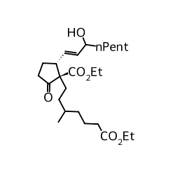 CCCCCC(O)C=C[C@H]1CCC(=O)[C@]1(CCC(C)CCCC(=O)OCC)C(=O)OCC